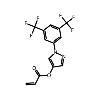 C=CC(=O)Oc1cnn(-c2cc(C(F)(F)F)cc(C(F)(F)F)c2)c1